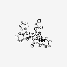 C[C@]1(COC(=O)CCl)[C@H](C(=O)OC(c2ccccc2)c2ccccc2)N2C(=O)/C(=C/c3ccccn3)[C@H]2S1(=O)=O